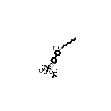 C=C(C)C(=O)OCC1(COc2ccc(-c3ccc(OCCCCCCCC)c(F)c3)cc2)COC(=O)OC1